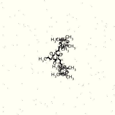 CCCn1c(=O)n(CCC[Si]2(C)O[SiH](C)O[SiH](C)O[SiH](C)O2)c(=O)n(CCC[Si]2(C)O[SiH](C)O[SiH](C)O[SiH](C)O2)c1=O